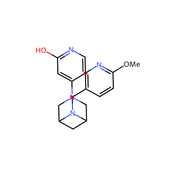 COc1ccc(CN2C3CC2CN(c2[c]cnc(O)c2)C3)cn1